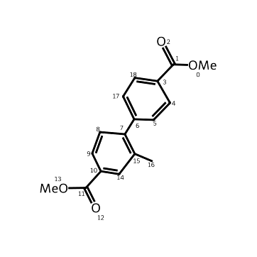 COC(=O)c1ccc(-c2ccc(C(=O)OC)cc2C)cc1